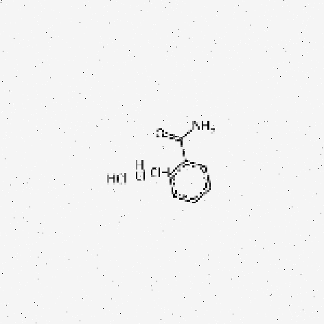 Cl.Cl.Cl.NC(=O)c1ccccc1